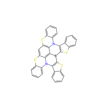 c1ccc2c3c(sc2c1)B1c2sc4ccccc4c2-n2c4ccccc4sc4cc5sc6ccccc6n-3c5c1c42